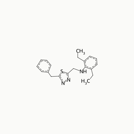 CCc1cccc(CC)c1NCc1nnc(Cc2ccccc2)s1